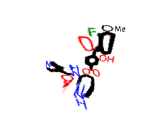 COc1ccc(O)c(C(=O)c2ccc(C(=O)OC3CCCNCC3NC(=O)c3ccncc3)cc2)c1F